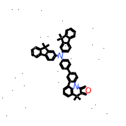 CC1(C)c2ccccc2-c2ccc(N(c3ccc(-c4ccc5c(c4)c4cccc6c4n5-c4cocc4C6(C)C)cc3)c3ccc4c(c3)C(C)(C)c3ccccc3-4)cc21